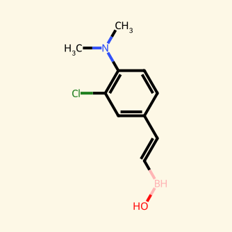 CN(C)c1ccc(C=CBO)cc1Cl